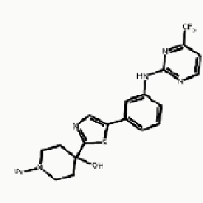 CC(C)N1CCC(O)(c2ncc(-c3cccc(Nc4nccc(C(F)(F)F)n4)c3)s2)CC1